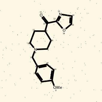 COc1ccc(CN2CCC(C(=O)c3ncco3)CC2)cc1